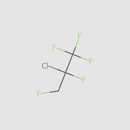 FCC(F)(Cl)C(F)(F)F